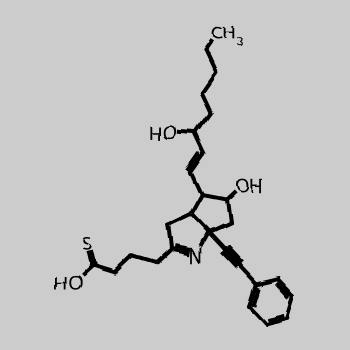 CCCCCC(O)C=CC1C(O)CC2(C#Cc3ccccc3)N=C(CCCC(O)=S)CC12